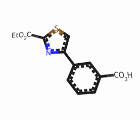 CCOC(=O)c1nc(-c2cccc(C(=O)O)c2)cs1